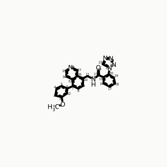 COc1cccc(-c2ccc(CNC(=O)c3ccccc3-n3cnnn3)c3cnccc23)c1